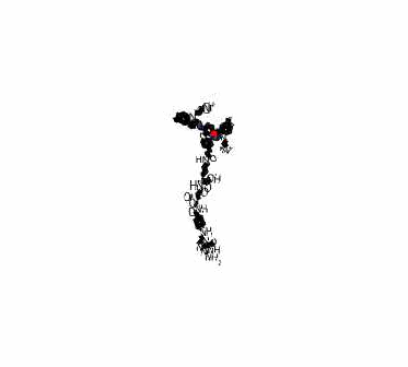 Cc1ccc2c(c1)C(C)(C)C(/C=C/C1=C(Oc3ccc(CCC(=O)NCCCC[C@H](NC(=O)CC[C@H](NC(=O)c4ccc(NCc5cnc6nc(N)[nH]c(=O)c6n5)cc4)OC=O)C(=O)O)cc3)C(=C/C=C3/N(CCC[N+](C)(C)C)c4ccc(C)cc4C3(C)C)/CCC1)=[N+]2CCC[N+](C)(C)C